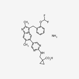 Cc1cc2nc(C)c(Cc3ccccc3OC(F)F)n2cc1-c1cnc(NCC2(C(=O)O)CC2)nc1.N